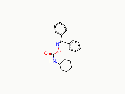 O=C(NC1CCCCC1)ON=C(c1ccccc1)c1ccccc1